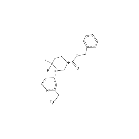 O=C(OCc1ccccc1)N1CCC(F)(F)[C@@H](c2ccnc(CC(F)(F)F)c2)C1